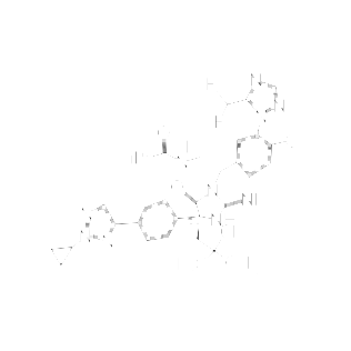 CC(C)C(=O)NC[C@H](c1ccc(Cl)c(-n2ncnc2C(F)F)c1)N1C(=N)N[C@](CC(C)(C)C(F)(F)F)(c2ccc(-c3cnn(C4CC4)n3)cc2)C1=O